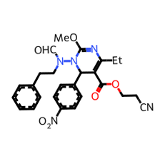 CCC1=C(C(=O)OCCC#N)C(c2ccc([N+](=O)[O-])cc2)N(N(C=O)CCc2ccccc2)C(OC)=N1